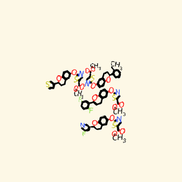 CCc1ccccc1C1CCc2cc(Oc3ncc(C(=O)OC)s3)ccc2O1.COC(=O)c1cnc(Oc2ccc3c(c2)CCC(c2cc(F)ccc2F)O3)s1.COC(=O)c1cnc(Oc2ccc3c(c2)CCC(c2ccsc2)O3)s1.COC(=O)c1cnc(Oc2ccc3c(c2)CCC(c2cncc(F)c2)O3)s1